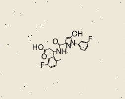 Cc1ccc(F)cc1C(CC(=O)O)NC(=O)c1cc(O)n(-c2cccc(F)c2)n1